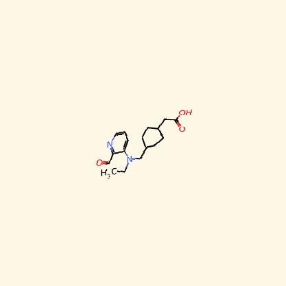 CCN(CC1CCC(CC(=O)O)CC1)c1cccnc1C=O